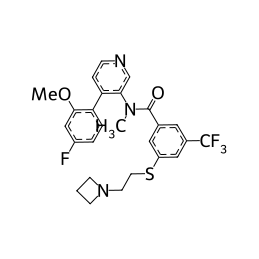 COc1cc(F)ccc1-c1ccncc1N(C)C(=O)c1cc(SCCN2CCC2)cc(C(F)(F)F)c1